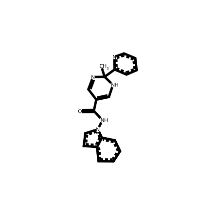 CC1(c2ccccn2)N=CC(C(=O)Nn2ccc3ccccc32)=CN1